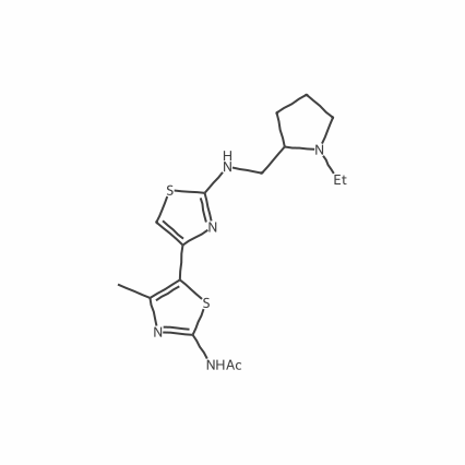 CCN1CCCC1CNc1nc(-c2sc(NC(C)=O)nc2C)cs1